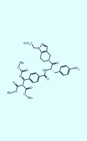 CCOC(=O)Cn1ncc2c1CCN(C(=O)[C@H](Cc1ccc([N+](=O)[O-])cc1)NC(=O)c1ccc(C(=NC(=O)OC(C)(C)C)N(C(=O)OC(C)(C)C)C(=O)OC(C)(C)C)cc1)C2